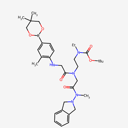 CCN(CCN(CC(=O)N(C)N1Cc2ccccc2C1)C(=O)CNc1ccc(B2OCC(C)(C)CO2)cc1C)C(=O)OC(C)(C)C